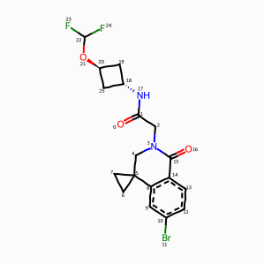 O=C(CN1CC2(CC2)c2cc(Br)ccc2C1=O)N[C@H]1C[C@H](OC(F)F)C1